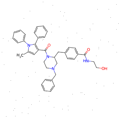 Cc1cc(C(=O)N2CCN(Cc3ccccc3)CC2Cc2ccc(C(=O)NCCO)cc2)c(-c2ccccc2)n1-c1ccccc1